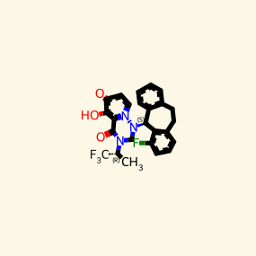 C[C@@H](N1CN([C@H]2c3ccccc3CCc3cccc(F)c32)n2ccc(=O)c(O)c2C1=O)C(F)(F)F